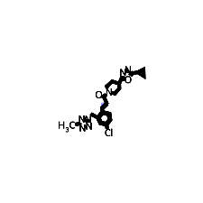 Cc1nnn(Cc2cc(Cl)ccc2/C=C/C(=O)N2CCC(c3nnc(C4CC4)o3)CC2)n1